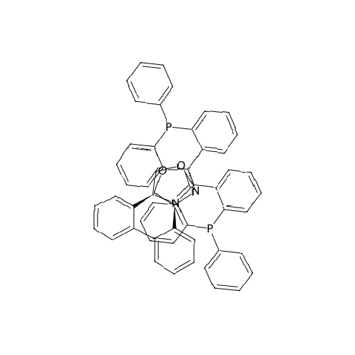 c1ccc(P(c2ccccc2)c2ccccc2C2=N[C@@H](c3ccccc3-c3ccccc3[C@H]3COC(c4ccccc4P(c4ccccc4)c4ccccc4)=N3)CO2)cc1